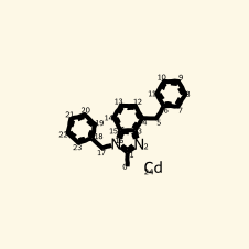 Cc1nc2c(Cc3ccccc3)cccc2n1Cc1ccccc1.[Cd]